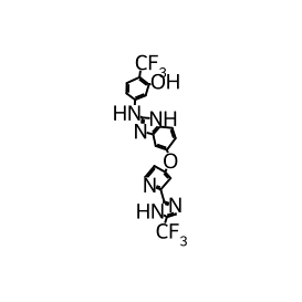 Oc1cc(Nc2nc3cc(Oc4ccnc(-c5ncc(C(F)(F)F)[nH]5)c4)ccc3[nH]2)ccc1C(F)(F)F